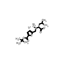 CC(C)C[C@@H](C(=O)[O-])N(C)Cc1ccc(C(=O)OC(C)(C)C)s1.[Li+]